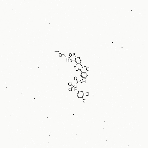 CCOCCC(=O)Nc1c(F)ccc(NC(=O)c2cc(NC(=O)C3[C@H](c4ccc(Cl)c(Cl)c4)C3(Cl)Cl)ccc2Cl)c1F